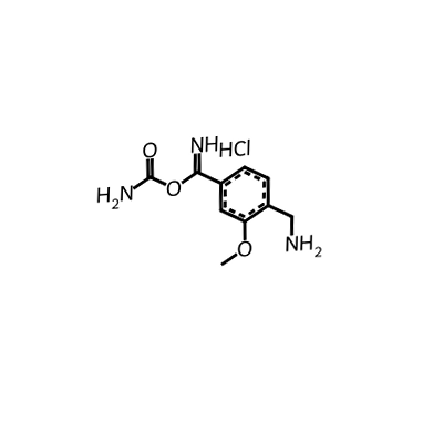 COc1cc(C(=N)OC(N)=O)ccc1CN.Cl